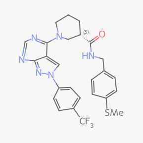 CSc1ccc(CNC(=O)[C@H]2CCCN(c3ncnc4nn(-c5ccc(C(F)(F)F)cc5)cc34)C2)cc1